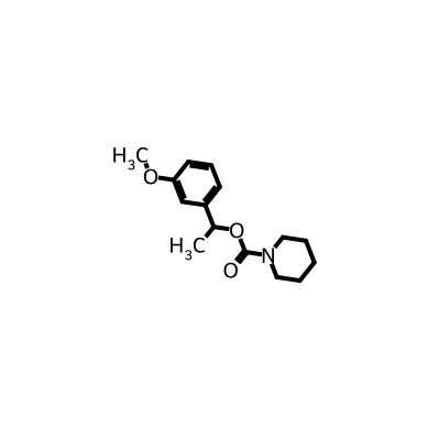 COc1cccc(C(C)OC(=O)N2CCCCC2)c1